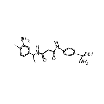 Bc1cc(C(C)NC(=O)CC(=O)Nc2ccc(C(=N)N)cc2)ccc1C